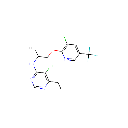 CCc1ncnc(NC(C)COc2ncc(C(F)(F)F)cc2Cl)c1Cl